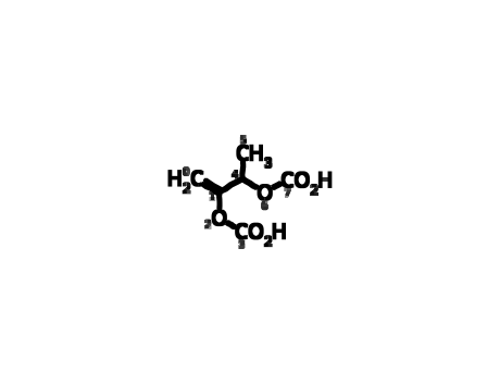 C=C(OC(=O)O)C(C)OC(=O)O